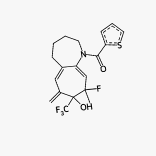 C=C1C=C2CCCCN(C(=O)c3cccs3)C2=CC(C)(F)C1(O)C(F)(F)F